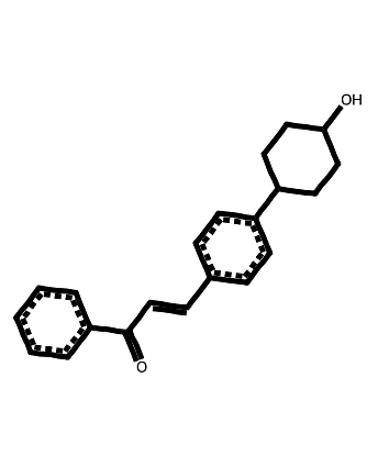 O=C(C=Cc1ccc(C2CCC(O)CC2)cc1)c1ccccc1